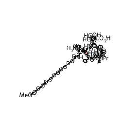 C=C(C)CO[C@H](C[C@H](C(C)C)N(C)C(=O)[C@@H](NC(=O)[C@H]1CCCC[N+]1(C)Cc1ccc(O[C@@H]2O[C@H](C(=O)O)[C@@H](O)[C@H](O)[C@H]2O)c(NC(=O)CCNC(=O)[C@H](CCCCNC(=O)CCOCCOCCOCCOCCOCCOCCOCCOCCOCCOCCOCCOC)NC(=O)[C@H](CN)N2C(=O)C=CC2=O)c1)[C@@H](C)CC)c1nc(C(=O)N[C@@H](Cc2ccccc2)C[C@H](C)C(=O)O)cs1